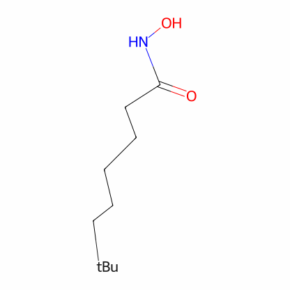 CC(C)(C)CCCCCC(=O)NO